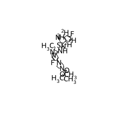 [2H]c1c([2H])c(-c2nc(Nc3c(CC)nn4cc(F)c(N5CCN(C(=O)OC(C)(C)C)CC5)cc34)sc2C#N)c([2H])c([2H])c1F